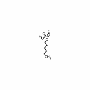 CCCCCCOP(=O)(OF)OF